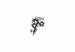 CC1(C)Oc2ccc(OC(F)F)cc2[C@H](N2CCCC2)[C@H]1O